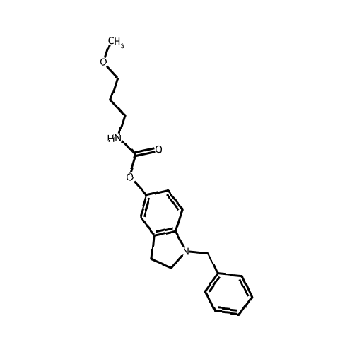 COCCCNC(=O)Oc1ccc2c(c1)CCN2Cc1ccccc1